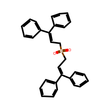 O=S(=O)(CC=C(c1ccccc1)c1ccccc1)CC=C(c1ccccc1)c1ccccc1